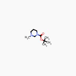 CN1CCCN(C(=O)OC(C)(C)C)C1